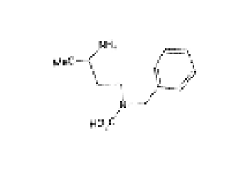 COC(N)CCN(Cc1ccccc1)C(=O)O